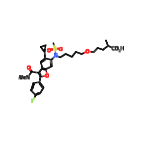 CNC(=O)c1c(-c2ccc(F)cc2)oc2cc(N(CCCCCOCCCC(C)C(=O)O)S(C)(=O)=O)c(C3CC3)cc12